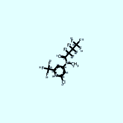 CN(C(=O)C(F)(F)C(F)(F)C(F)(F)F)c1cc(Cl)nc(C(F)(F)F)c1